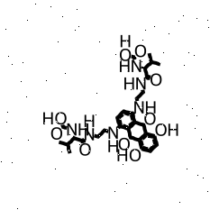 CC(C)[C@H](NC(=O)O)C(=O)NCCNc1ccc(NCCNC(=O)[C@@H](NC(=O)O)C(C)C)c2c1C(=O)c1c(O)ccc(O)c1C2=O